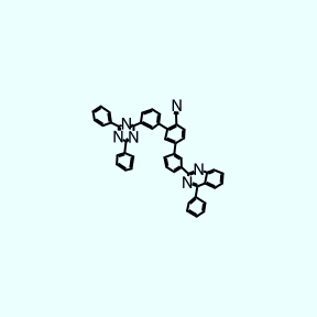 N#Cc1ccc(-c2cccc(-c3nc(-c4ccccc4)c4ccccc4n3)c2)cc1-c1cccc(-c2nc(-c3ccccc3)nc(-c3ccccc3)n2)c1